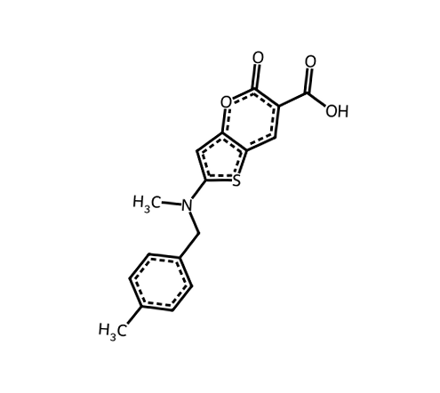 Cc1ccc(CN(C)c2cc3oc(=O)c(C(=O)O)cc3s2)cc1